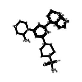 CC1COCCN1c1cc(C2CCN(S(C)(=O)=O)CC2)nc(-c2ccnc3[nH]ccc23)n1